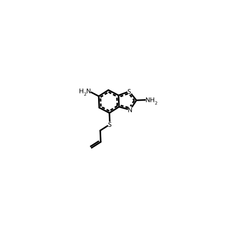 C=CCSc1cc(N)cc2sc(N)nc12